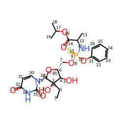 CC[C@@]1(O)C(O)[C@@H](COP(=S)(NC(C)C(=O)OC(C)C)Oc2ccccc2)O[C@H]1n1ccc(=O)[nH]c1=O